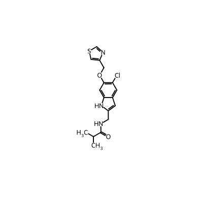 CC(C)C(=O)NCc1cc2cc(Cl)c(OCc3cscn3)cc2[nH]1